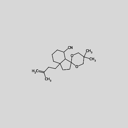 C=C(C)CCC12CCCC(C#N)C1C1(CC2)OCC(C)(C)CO1